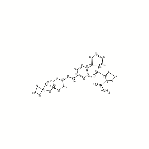 NC(=O)C1CCCN1C(=O)c1ccccc1-c1ccc(OCC2CCN(CC3(C(F)(F)F)CCC3)CC2)cc1